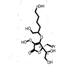 CCCCCCCCCCCCCCC(CO)OC1=C(OO)C(=O)O[C@]1(CC(C)C)[C@@H](O)CO